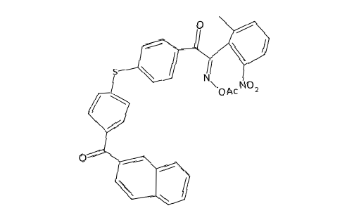 CC(=O)O/N=C(/C(=O)c1ccc(Sc2ccc(C(=O)c3ccc4ccccc4c3)cc2)cc1)c1c(C)cccc1[N+](=O)[O-]